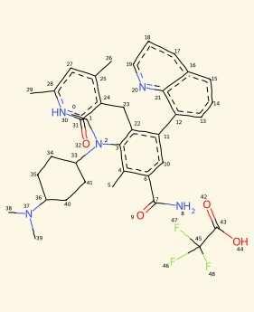 CCN(c1c(C)c(C(N)=O)cc(-c2cccc3cccnc23)c1Cc1c(C)cc(C)[nH]c1=O)C1CCC(N(C)C)CC1.O=C(O)C(F)(F)F